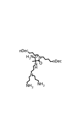 CCCCCCCCCCCCCCN(CCCCCCCCCCCCCC)C(=O)C(C)(NCCCN(CCCN)CCCN)C(N)=O